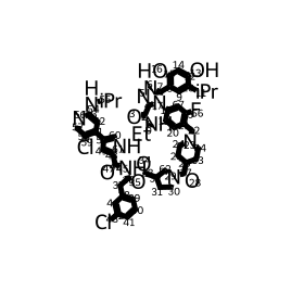 CCNC(=O)c1nnc(-c2cc(C(C)C)c(O)cc2O)n1-c1ccc(CN2CCC(C(=O)N3CCC(C(=O)OC(Cc4cccc(Cl)c4)NC(=O)c4cc(-c5cc(NC(C)C)ncc5Cl)c[nH]4)C3)CC2)c(F)c1